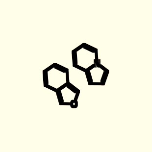 c1ccc2cocc2c1.c1ccn2cccc2c1